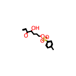 C=CC(=O)C(O)CCCOS(=O)(=O)c1ccc(C)cc1